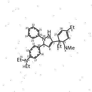 CCC1=CC(NC)C(CC)(C2=CC(c3ccc(N(CC)CC)cc3)N(c3ccccc3)N2)C=C1